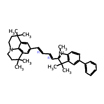 C[N+]1=C(/C=C/C=C/c2cc3c4c(c2)C(C)(C)CCN4CCC3(C)C)C(C)(C)c2cc(-c3ccccc3)ccc21